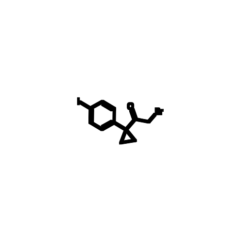 O=C(CBr)C1(c2ccc(I)cc2)CC1